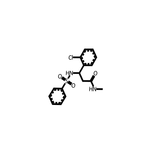 CNC(=O)CC(NS(=O)(=O)c1ccccc1)c1ccccc1Cl